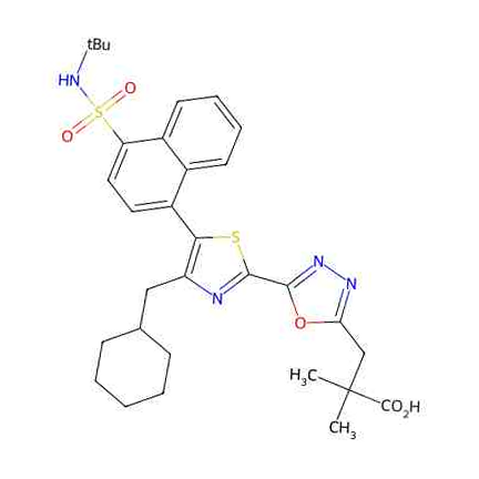 CC(C)(C)NS(=O)(=O)c1ccc(-c2sc(-c3nnc(CC(C)(C)C(=O)O)o3)nc2CC2CCCCC2)c2ccccc12